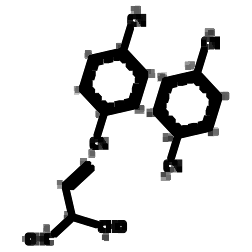 C=CC([C]=O)C=O.N#Cc1ccc(C#N)cc1.N#Cc1ccc(C#N)cc1